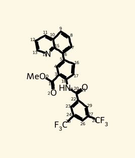 COC(=O)c1cc(-c2cccc3cccnc23)ccc1NC(=O)c1cc(C(F)(F)F)cc(C(F)(F)F)c1